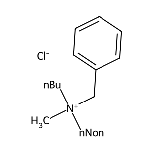 CCCCCCCCC[N+](C)(CCCC)Cc1ccccc1.[Cl-]